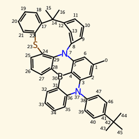 Cc1cc2c3c(c1)N1c4cccc(c4)C(C)(C)c4ccccc4Sc4cccc(c41)B3c1ccccc1N2c1ccc(C(C)(C)C)cc1